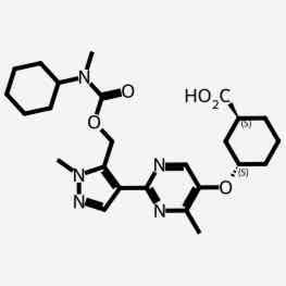 Cc1nc(-c2cnn(C)c2COC(=O)N(C)C2CCCCC2)ncc1O[C@H]1CCC[C@H](C(=O)O)C1